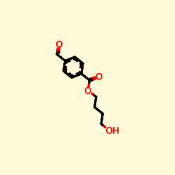 O=Cc1ccc(C(=O)OCCCCO)cc1